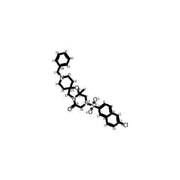 CC12CN(S(=O)(=O)c3ccc4cc(Cl)ccc4c3)CC(=O)N1CC1(CCN(Cc3ccccc3)CC1)O2